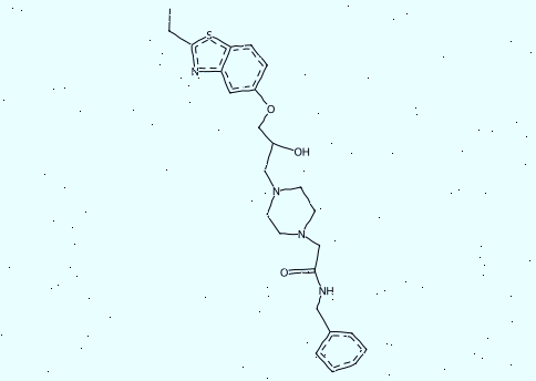 CCc1nc2cc(OCC(O)CN3CCN(CC(=O)NCc4ccccc4)CC3)ccc2s1